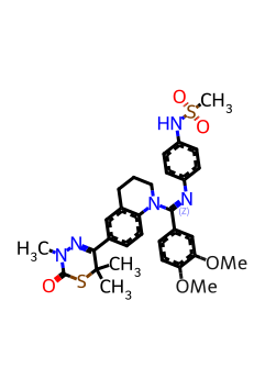 COc1ccc(/C(=N/c2ccc(NS(C)(=O)=O)cc2)N2CCCc3cc(C4=NN(C)C(=O)SC4(C)C)ccc32)cc1OC